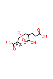 CC(CP(=O)(O)CC(CCC(=O)O)C(=O)O)C(=O)O